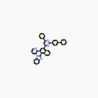 c1ccc(-c2ccc(-c3nc(-c4ccccc4)cc(-c4cc5c6ncccc6n6c7ccccc7nc6c5c5ccccc45)n3)cc2)cc1